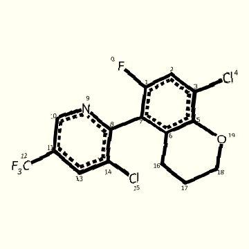 Fc1cc(Cl)c2c(c1-c1ncc(C(F)(F)F)cc1Cl)CCCO2